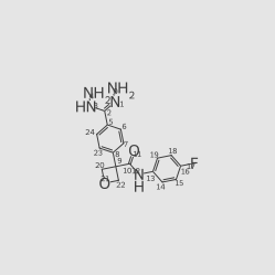 N/N=C(\NN)c1ccc(C2(C(=O)Nc3ccc(F)cc3)COC2)cc1